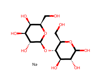 OC[C@H]1O[C@@H](O[C@H]2[C@H](O)[C@@H](O)C(O)O[C@@H]2CO)[C@H](O)[C@@H](O)[C@H]1O.[Na]